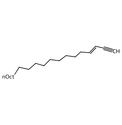 C#CC=CCCCCCCCCCCCCCCCCC